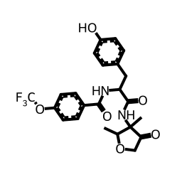 CC1OCC(=O)C1(C)NC(=O)C(Cc1ccc(O)cc1)NC(=O)c1ccc(OC(F)(F)F)cc1